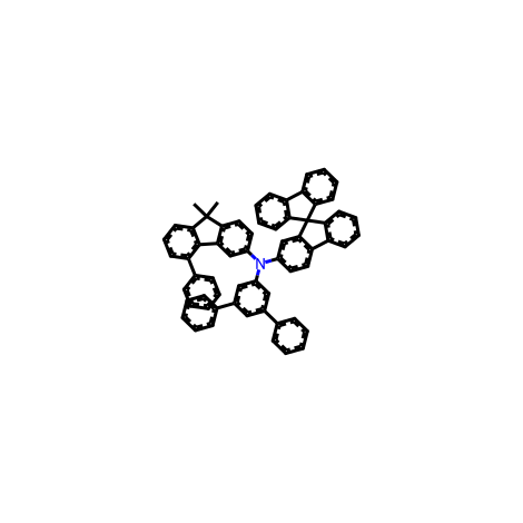 CC1(C)c2ccc(N(c3cc(-c4ccccc4)cc(-c4ccccc4)c3)c3ccc4c(c3)C3(c5ccccc5-c5ccccc53)c3ccccc3-4)cc2-c2c(-c3ccccc3)cccc21